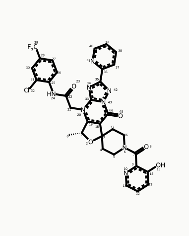 C[C@H]1OC2(CCN(C(=O)c3ncccc3O)CC2)c2c1n(CC(=O)Nc1ccc(C(F)(F)F)cc1Cl)c1nc(-c3ccccn3)nn1c2=O